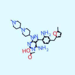 CC(=O)O.Cc1ccc(Cc2ccc(-c3nn(C4CCN(C5CCN(C)CC5)CC4)c4ncnc(N)c34)c(N)c2)o1